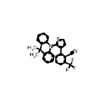 CC1(C)c2ccccc2N(c2sccc2-c2cccc(C(F)(F)F)c2C#N)c2ccccc21